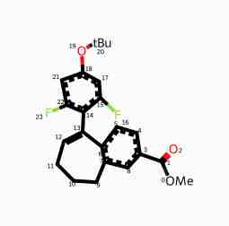 COC(=O)c1ccc2c(c1)CCCC=C2c1c(F)cc(OC(C)(C)C)cc1F